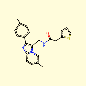 Cc1ccc(-c2nc3ccc(C)cn3c2CNC(=O)Cc2cccs2)cc1